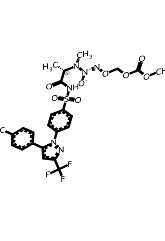 COC(=O)OCON=[N+]([O-])N(C)[C@@H](C)C(=O)NS(=O)(=O)c1ccc(-n2nc(C(F)(F)F)cc2-c2ccc(C)cc2)cc1